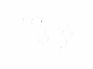 Cc1ccc(CC(=O)O)cc1CCN[C@H](c1ccccc1)[C@@H]1CNc2ccnnc2C1